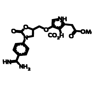 COC(=O)Cc1[nH]cc(OCC2CN(c3ccc(C(=N)N)cc3)C(=O)O2)c1C(=O)O